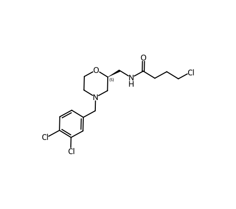 O=C(CCCCl)NC[C@H]1CN(Cc2ccc(Cl)c(Cl)c2)CCO1